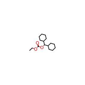 CCOC(=O)OC(C1CCCCC1)C1CCCCC1